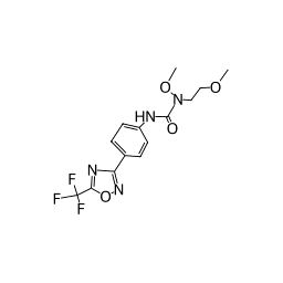 COCCN(OC)C(=O)Nc1ccc(-c2noc(C(F)(F)F)n2)cc1